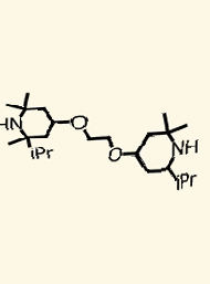 CC(C)C1CC(OCCOC2CC(C)(C)NC(C)(C(C)C)C2)CC(C)(C)N1